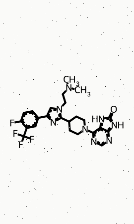 CN(C)CCn1cc(-c2ccc(F)c(C(F)(F)F)c2)nc1C1CCN(c2ncnc3[nH]c(=O)[nH]c23)CC1